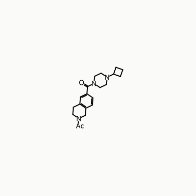 CC(=O)N1CCc2cc(C(=O)N3CCN(C4CCC4)CC3)ccc2C1